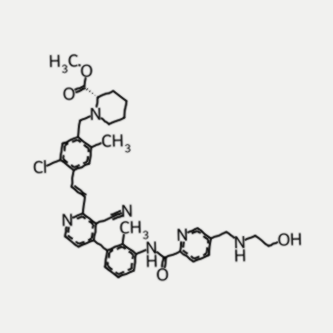 COC(=O)[C@@H]1CCCCN1Cc1cc(Cl)c(/C=C/c2nccc(-c3cccc(NC(=O)c4ccc(CNCCO)cn4)c3C)c2C#N)cc1C